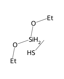 CCO[SiH2]OCC.CS